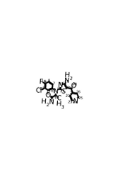 C[C@@H](C(N)=O)N(c1ccc(F)c(Cl)c1)c1nc(N)c(C(=O)c2ccncc2)s1